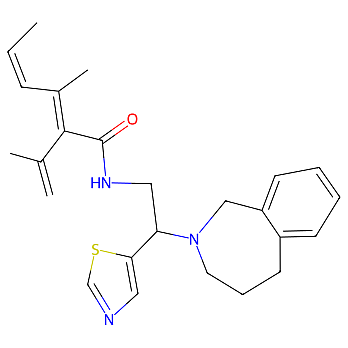 C=C(C)/C(C(=O)NCC(c1cncs1)N1CCCc2ccccc2C1)=C(C)\C=C/C